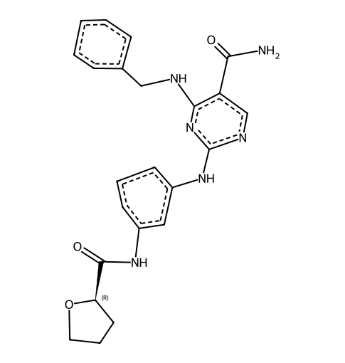 NC(=O)c1cnc(Nc2cccc(NC(=O)[C@H]3CCCO3)c2)nc1NCc1ccccc1